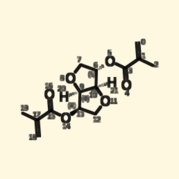 C=C(C)C(=O)O[C@H]1CO[C@H]2[C@@H]1OC[C@H]2OC(=O)C(=C)C